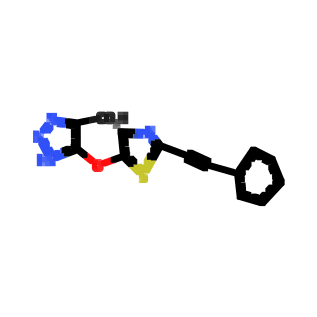 O=C(O)c1nn[nH]c1Oc1cnc(C#Cc2ccccc2)s1